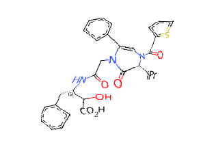 CC(C)C1C(=O)N(CC(=O)N[C@@H](Cc2ccccc2)C(O)C(=O)O)C(c2ccccc2)=CN1C(=O)c1cccs1